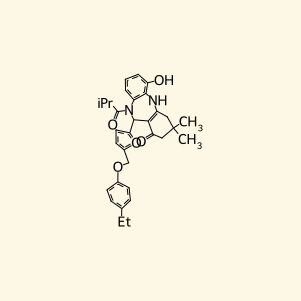 CCc1ccc(OCc2ccc(C3C4=C(CC(C)(C)CC4=O)Nc4c(O)cccc4N3C(=O)C(C)C)o2)cc1